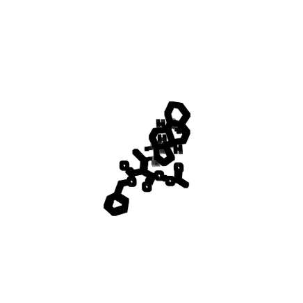 CC(=O)OOC(=O)C(C(=O)OCc1ccccc1)=C(C)[C@H]1CC[C@H]2[C@@H]3CC=C4CCCC[C@]4(C)[C@H]3CC[C@]12C